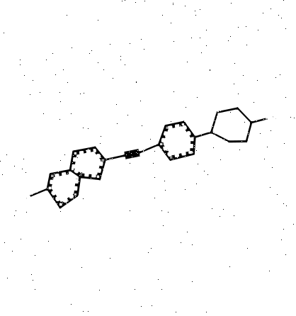 CCCCCCCCCC1CCC(c2ccc(C#Cc3ccc4cc(CCCCCC)ccc4c3)cc2)CC1